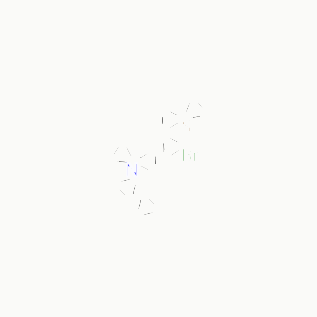 Brc1cc(-c2ccc3c(c2)c2ccccc2n3-c2cccc(-c3ccccc3)c2)cc(-c2cccc3c2sc2ccccc23)c1